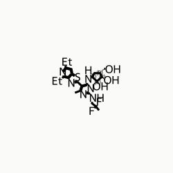 CCc1cc2sc(-c3c(C)nc(NCC(C)(F)F)nc3N[C@@H]3C[C@H](CO)[C@@H](O)[C@H]3O)nc2c(CC)n1